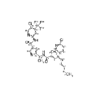 CC/C=C/N=C(\C=C(/C)C(=O)NC(C)c1ncc(C(=O)Nc2cc(C(F)(F)F)c(Cl)cn2)s1)c1ccc(Cl)nc1